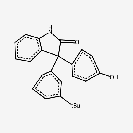 CC(C)(C)c1cccc(C2(c3ccc(O)cc3)C(=O)Nc3ccccc32)c1